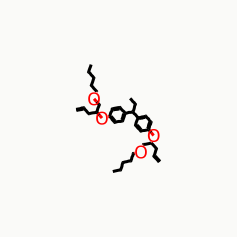 C=CCC(COCCCCC)Oc1ccc(C(CC)c2ccc(OC(CC=C)COCCCCC)cc2)cc1